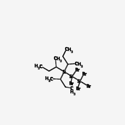 CCC(C)[Si](C(C)CC)(C(C)CC)[Si](Br)(Br)[Si](Br)(Br)Br